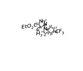 CCOC(=O)c1ncnc(-n2ccc3cc(C(F)(F)F)ccc32)c1C